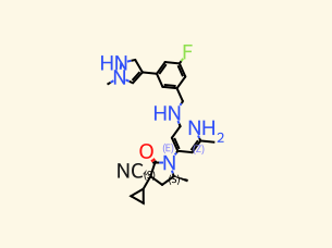 C/C(N)=C/C(=C\CNCc1cc(F)cc(C2=CN(C)NC2)c1)N1C(=O)[C@](C#N)(C2CC2)C[C@@H]1C